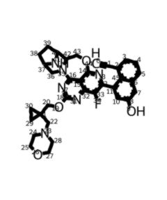 C#Cc1cccc2cc(O)cc(-c3nc4c5c(nc(OCC6(CN7CCOCC7)CC6)nc5c3F)N3CC5CCC(N5)C3CO4)c12